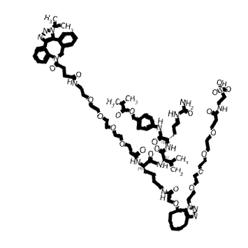 CC(C)C(=O)OCc1ccc(NC(=O)[C@H](CCCNC(N)=O)NC(=O)[C@@H](NC(=O)[C@@H](CCCCNC(=O)COC2CCCCCc3nnn(CCOCCOCCOCCOCCC(=O)NCCS(=O)(=O)O)c32)NC(=O)CCOCCOCCOCCOCCNC(=O)CCC(=O)N2Cc3ccccc3-c3c(nnn3C(C)C)-c3ccccc32)C(C)C)cc1